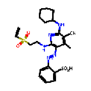 C=CS(=O)(=O)CCNc1nc(NC2CCCCC2)c(C#N)c(C)c1/N=N/c1ccccc1S(=O)(=O)O